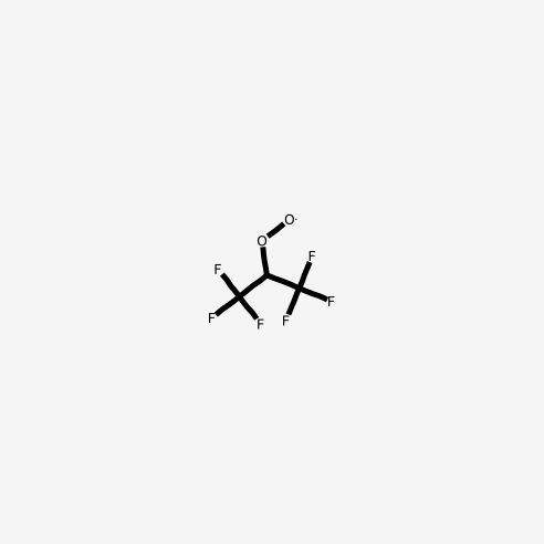 [O]OC(C(F)(F)F)C(F)(F)F